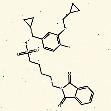 O=C1c2ccccc2C(=O)N1CCCCCS(=O)(=O)N[C@@H](c1ccc(F)c(OCC2CC2)c1)C1CC1